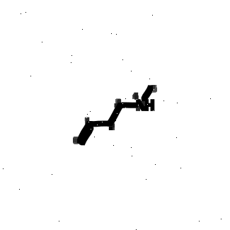 C=CC[CH]NC